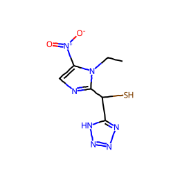 CCn1c([N+](=O)[O-])cnc1C(S)c1nnn[nH]1